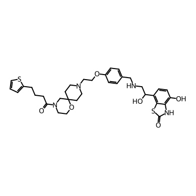 O=C(CCCc1cccs1)N1CCOC2(CCN(CCOc3ccc(CNCC(O)c4ccc(O)c5[nH]c(=O)sc45)cc3)CC2)C1